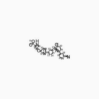 COC(=O)[C@@H]1C[C@H](Oc2cnc(-c3cccc(Cn4nc(-c5cccc(C#N)c5)ccc4=O)c3)nc2)CN1